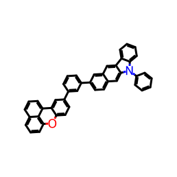 c1ccc(-n2c3ccccc3c3cc4cc(-c5cccc(-c6ccc7c(c6)-c6cccc8cccc(c68)O7)c5)ccc4cc32)cc1